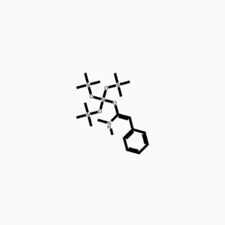 C[SiH](C)C(=Cc1ccccc1)O[Si](O[Si](C)(C)C)(O[Si](C)(C)C)O[Si](C)(C)C